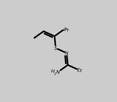 C/C=C(\S/N=C(\N)CC)C(C)C